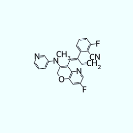 C=C/C(=C\C1=C(N(C)c2cccnc2)COc2cc(F)cnc21)c1cccc(F)c1C#N